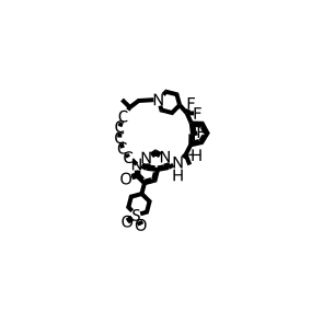 CC1CCCCCn2c(=O)c(C3CCS(=O)(=O)CC3)cc3c(ncnc32)N[C@H](C)c2cccc(c2F)C(F)(F)C2CCN(CC2)C1